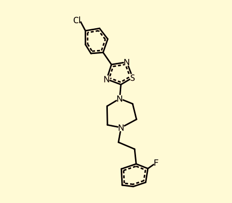 Fc1ccccc1CCN1CCN(c2nc(-c3ccc(Cl)cc3)ns2)CC1